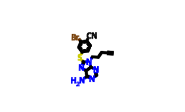 C#CCCCN1C(Sc2ccc(C#N)c(Br)c2)=NC2C(N)=NC=NC21